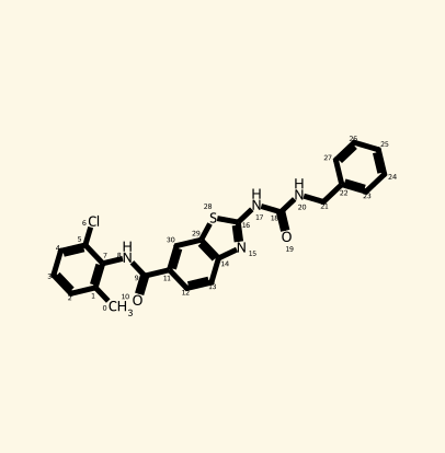 Cc1cccc(Cl)c1NC(=O)c1ccc2nc(NC(=O)NCc3ccccc3)sc2c1